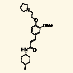 COc1cc(/C=C/C(=O)N[C@H]2CC[C@H](C)CC2)ccc1OCCN1CCCC1